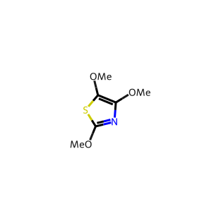 COc1nc(OC)c(OC)s1